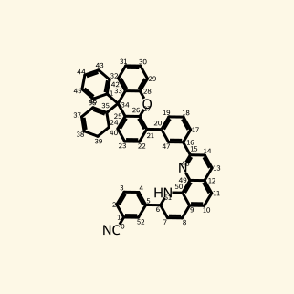 N#Cc1cccc(C2C=Cc3ccc4ccc(-c5cccc(-c6cccc7c6Oc6ccccc6C7(C6=CC=CCC6)c6ccccc6)c5)nc4c3N2)c1